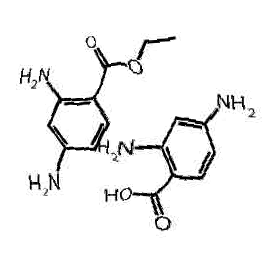 CCOC(=O)c1ccc(N)cc1N.Nc1ccc(C(=O)O)c(N)c1